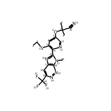 CCSc1cc(OC(C)(C)C#N)cnc1-c1nc2cc(C(F)(F)F)nnc2n1C